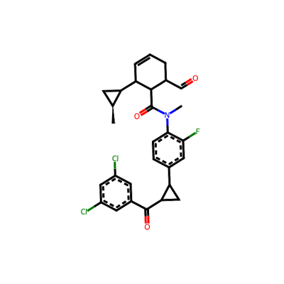 C[C@H]1CC1C1C=CCC(C=O)C1C(=O)N(C)c1ccc(C2CC2C(=O)c2cc(Cl)cc(Cl)c2)cc1F